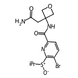 CC(C)[S+]([O-])c1nc(C(=O)NC2(CC(N)=O)COC2)ccc1Br